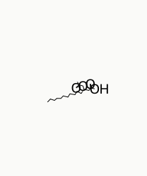 CCCCCCCCCCC[C@H](CC(=O)O)OC(C)=O